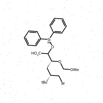 COCO[C@H](C[C@H](CBr)C(C)(C)C)C(O[SiH](c1ccccc1)c1ccccc1)C(=O)O